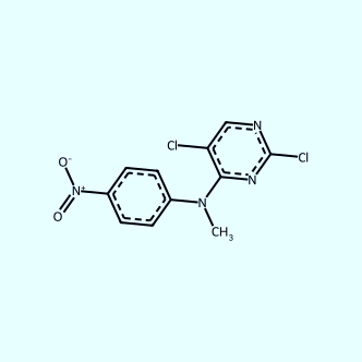 CN(c1ccc([N+](=O)[O-])cc1)c1nc(Cl)ncc1Cl